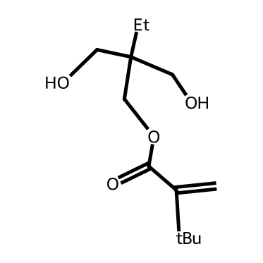 C=C(C(=O)OCC(CC)(CO)CO)C(C)(C)C